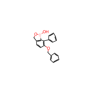 OB1OCc2ccc(OCc3ccccc3)c(-c3ccccc3)c21